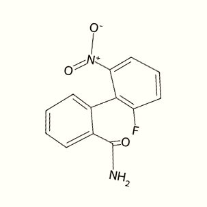 NC(=O)c1ccccc1-c1c(F)cccc1[N+](=O)[O-]